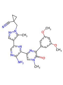 COc1cc(OC)cc(-c2nc(-c3nc(-c4cnn(CC5(C#N)CC5)c4C)cnc3N)cn(C)c2=O)c1